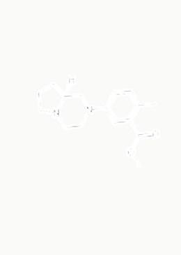 COC(=O)c1cc(N2CCN3CCC[C@H]3C2)ccc1C